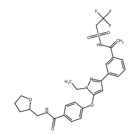 C=C(NS(=O)(=O)CC(F)(F)F)c1cccc(-c2cc(Oc3ccc(C(=O)NCC4CCCO4)cc3)n(CC)n2)c1